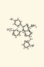 Cc1cc(-c2c(-c3ccc(F)cc3)nc(N)n3nc(Cc4ncccc4F)nc23)ccn1